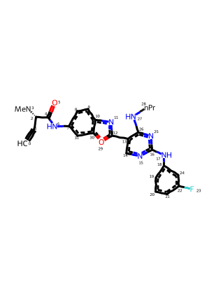 C#C[C@H](NC)C(=O)Nc1ccc2nc(-c3cnc(Nc4cccc(F)c4)nc3NCCC)oc2c1